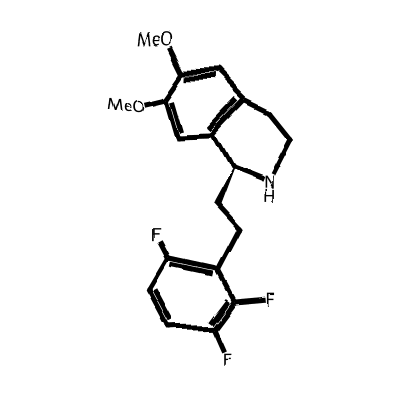 COc1cc2c(cc1OC)[C@H](CCc1c(F)ccc(F)c1F)NCC2